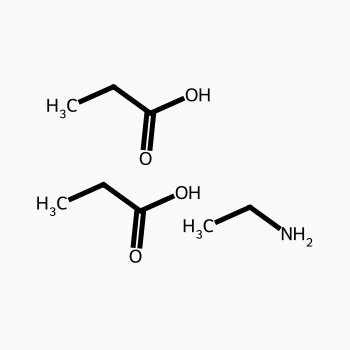 CCC(=O)O.CCC(=O)O.CCN